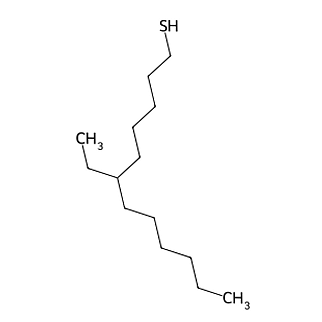 CCCCCCC(CC)CCCCCS